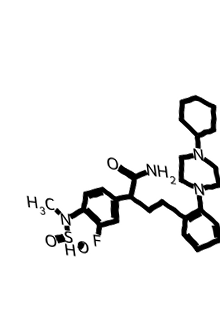 CN(c1ccc(C(CCc2ccc(C(F)(F)F)cc2N2CCN(C3CCCCC3)CC2)C(N)=O)cc1F)[SH](=O)=O